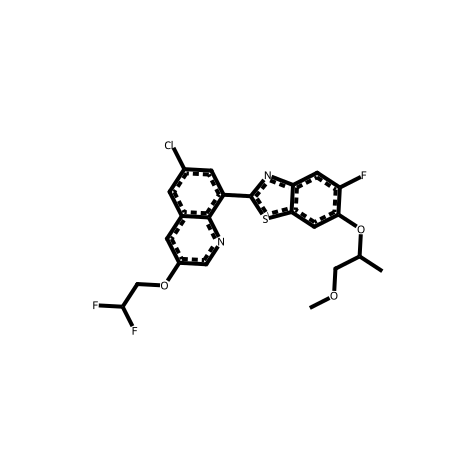 COCC(C)Oc1cc2sc(-c3cc(Cl)cc4cc(OCC(F)F)cnc34)nc2cc1F